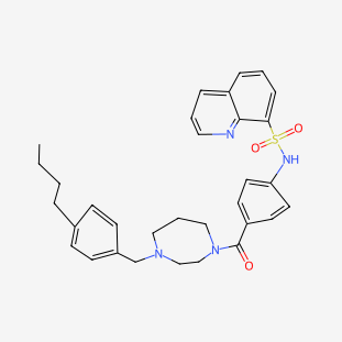 CCCCc1ccc(CN2CCCN(C(=O)c3ccc(NS(=O)(=O)c4cccc5cccnc45)cc3)CC2)cc1